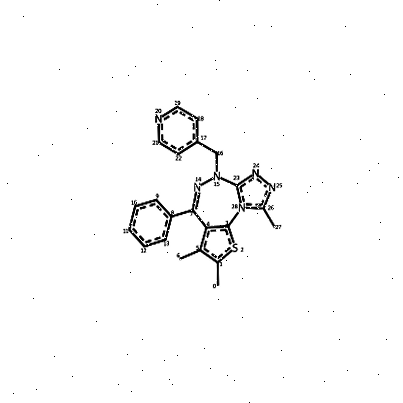 Cc1sc2c(c1C)C(c1ccccc1)=NN(Cc1ccncc1)c1nnc(C)n1-2